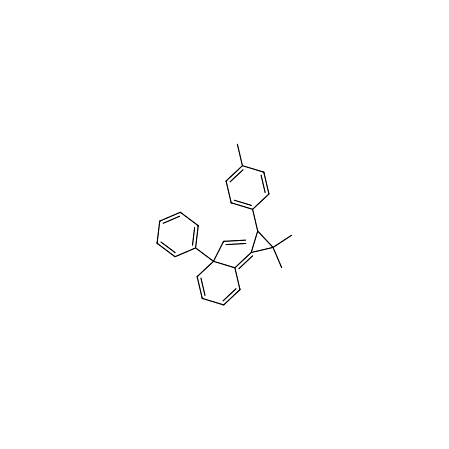 C=CC1(c2ccccc2)C=CC=CC1=C1C(c2ccc(C)cc2)C1(C)C